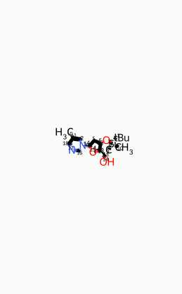 CC1=CN([C@H]2C[C@H](O[Si](C)(C)C(C)(C)C)[C@@H](CO)O2)CN=C1